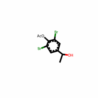 CC(=O)Oc1c(Br)cc(C(C)O)cc1Br